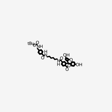 CC(C)(C)OC(=O)NCc1ccc(C(=O)NCCCCCCNC(=O)c2ccc3c(c2)C2(OC3=O)c3ccc(O)cc3Oc3cc(O)ccc32)cc1